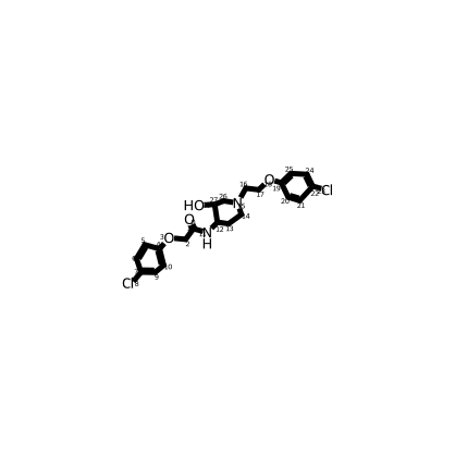 O=C(COc1ccc(Cl)cc1)NC1CCN(CCOc2ccc(Cl)cc2)CC1O